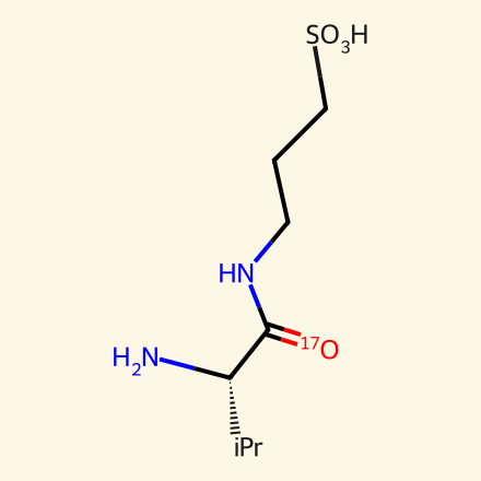 CC(C)[C@H](N)C(=[17O])NCCCS(=O)(=O)O